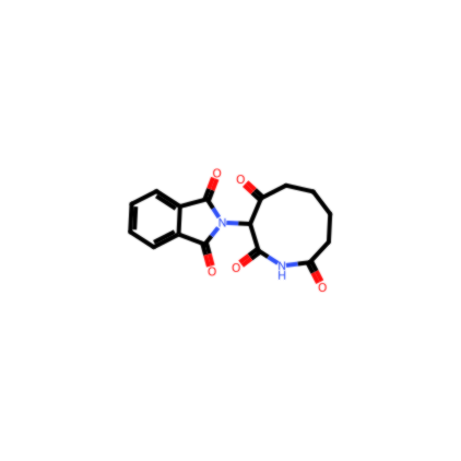 O=C1CCCCC(=O)C(N2C(=O)c3ccccc3C2=O)C(=O)N1